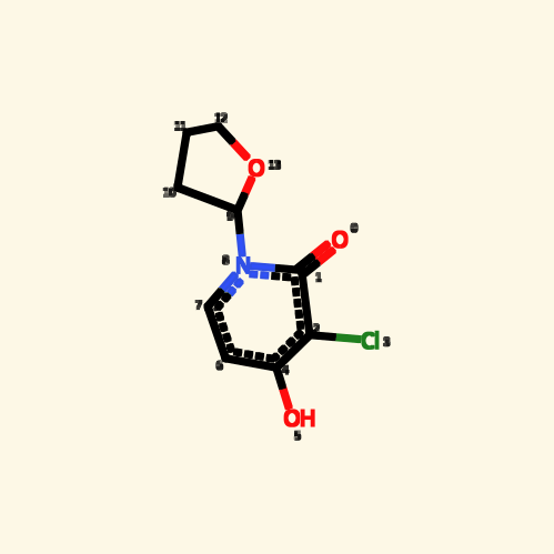 O=c1c(Cl)c(O)ccn1C1CCCO1